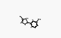 CC1=NCC(c2cccc(F)c2)S1